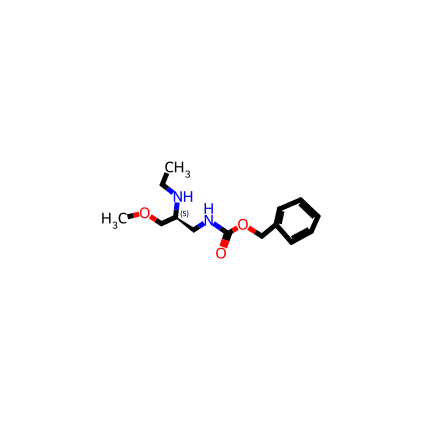 CCN[C@@H](CNC(=O)OCc1ccccc1)COC